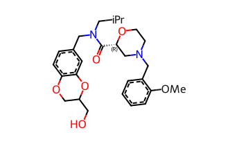 COc1ccccc1CN1CCO[C@@H](C(=O)N(Cc2ccc3c(c2)OC(CO)CO3)CC(C)C)C1